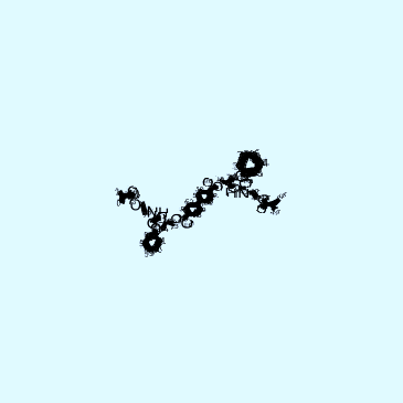 C=C(C)C(=O)OCCNC(=O)OC(COC(=O)c1ccc(-c2ccc(C(=O)OCC(COc3ccccc3)OC(=O)NCCOC(=O)C(=C)C)cc2)cc1)COc1ccccc1